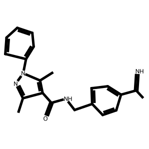 CC(=N)c1ccc(CNC(=O)c2c(C)nn(-c3ccccc3)c2C)cc1